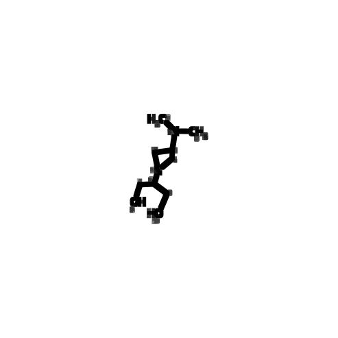 CN(C)C1CN(C(CO)CO)C1